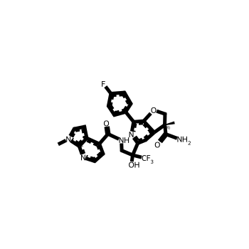 Cn1ccc2c(C(=O)NCC(O)(c3cc4c(c(-c5ccc(F)cc5)n3)OC[C@]4(C)C(N)=O)C(F)(F)F)ccnc21